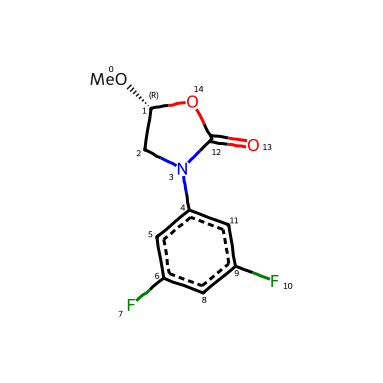 CO[C@H]1CN(c2cc(F)cc(F)c2)C(=O)O1